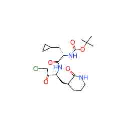 CC(C)(C)OC(=O)N[C@@H](CC1CC1)C(=O)N[C@@H](C[C@@H]1CCCNC1=O)C(=O)CCl